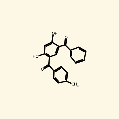 Cc1ccc(C(=O)c2cc(C(=O)c3ccccc3)c(O)cc2O)cc1